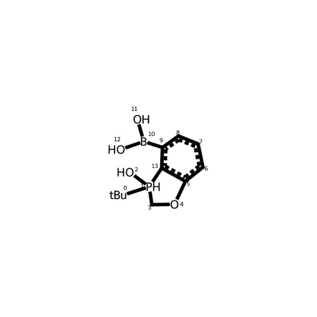 CC(C)(C)[PH]1(O)COc2cccc(B(O)O)c21